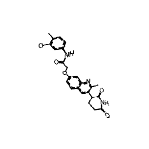 Cc1ccc(NC(=O)COc2ccc3cc(C4CCC(=O)NC4=O)c(C)nc3c2)cc1Cl